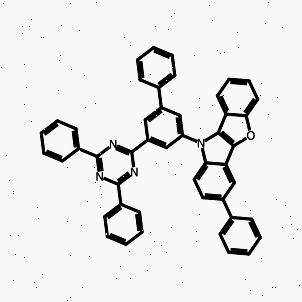 c1ccc(-c2cc(-c3nc(-c4ccccc4)nc(-c4ccccc4)n3)cc(-n3c4ccc(-c5ccccc5)cc4c4oc5ccccc5c43)c2)cc1